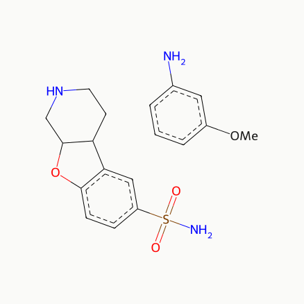 COc1cccc(N)c1.NS(=O)(=O)c1ccc2c(c1)C1CCNCC1O2